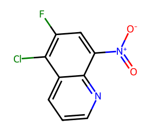 O=[N+]([O-])c1cc(F)c(Cl)c2cccnc12